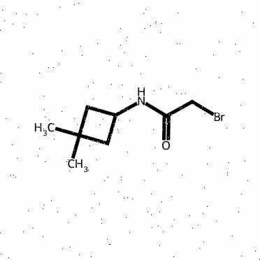 CC1(C)CC(NC(=O)CBr)C1